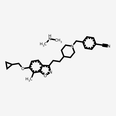 CNC.Cc1c(OCC2CC2)ccc2c(CCC3CCN(Cc4ccc(C#N)cc4)CC3)noc12